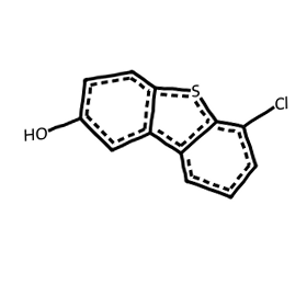 Oc1ccc2sc3c(Cl)cccc3c2c1